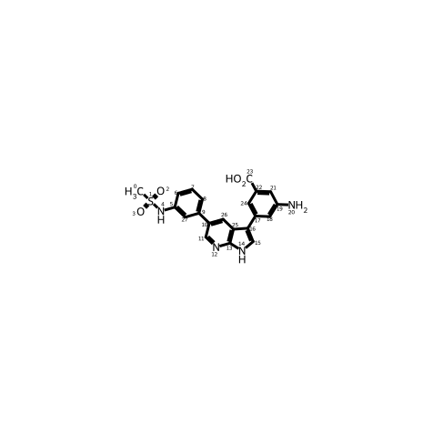 CS(=O)(=O)Nc1cccc(-c2cnc3[nH]cc(-c4cc(N)cc(C(=O)O)c4)c3c2)c1